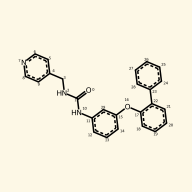 O=C(NCc1ccncc1)Nc1cccc(Oc2ccccc2-c2ccccc2)c1